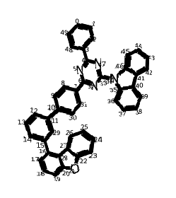 c1ccc(-c2nc(-c3ccc(-c4cccc(-c5cccc6oc7ccccc7c56)c4)cc3)nc(-n3c4ccccc4c4ccccc43)n2)cc1